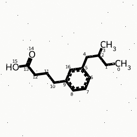 CCC(C)Cc1cccc(CCCC(=O)O)c1